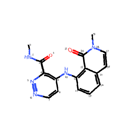 CNC(=O)c1nnccc1Nc1cccc2ccn(C)c(=O)c12